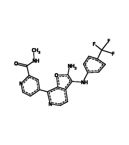 CNC(=O)c1cc(-c2nccc3c(Nc4ccc(C(F)(F)F)cc4)c(N)oc23)ccn1